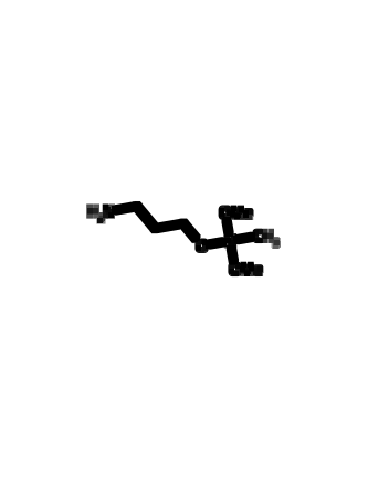 CO[Si](C)(OC)OCCCN